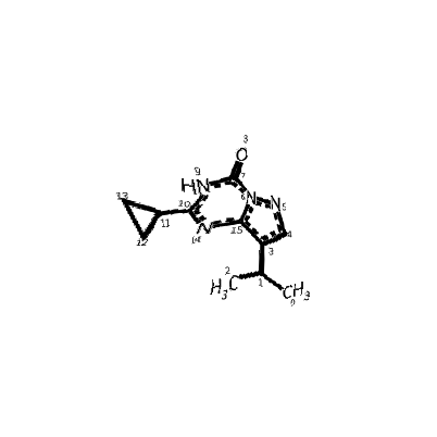 CC(C)c1cnn2c(=O)[nH]c(C3CC3)nc12